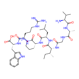 CC[C@@H](C)[C@@H](NC(=O)CNC(=O)[C@@H](C)NC(=O)[C@@H](N)C(C)C)C(=O)N[C@H](CC(C)C)C(=O)N[C@H](CCCCN)C(=O)N[C@H](CCCNC(=N)N)C(=O)N[C@H](Cc1c[nH]c2ccccc12)C(=O)O